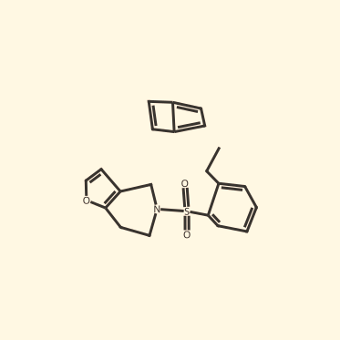 CCc1ccccc1S(=O)(=O)N1CCc2occc2C1.c1cc2ccc1-2